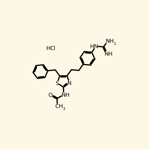 CC(=O)Nc1nc(CCc2ccc(NC(=N)N)cc2)c(Cc2ccccc2)s1.Cl